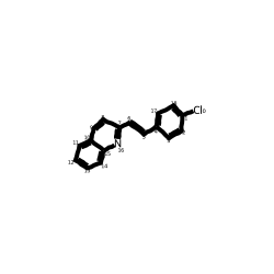 Clc1ccc(C=Cc2ccc3ccccc3n2)cc1